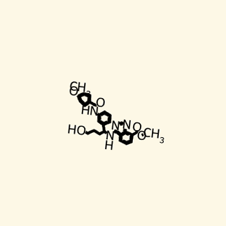 COC(=O)c1cccc2c(NC(CCCO)c3cccc(NC(=O)c4ccc(OC)cc4)c3)ncnc12